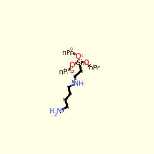 CCCO[Si](CCNCCCCN)(OCCC)OCCC